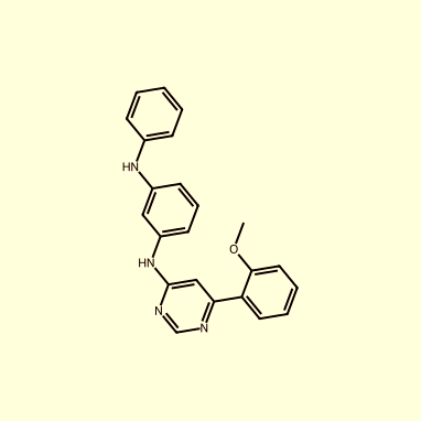 COc1ccccc1-c1cc(Nc2cccc(Nc3ccccc3)c2)ncn1